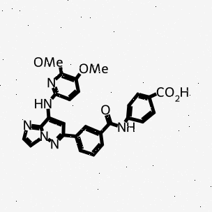 COc1ccc(Nc2cc(-c3cccc(C(=O)Nc4ccc(C(=O)O)cc4)c3)nn3ccnc23)nc1OC